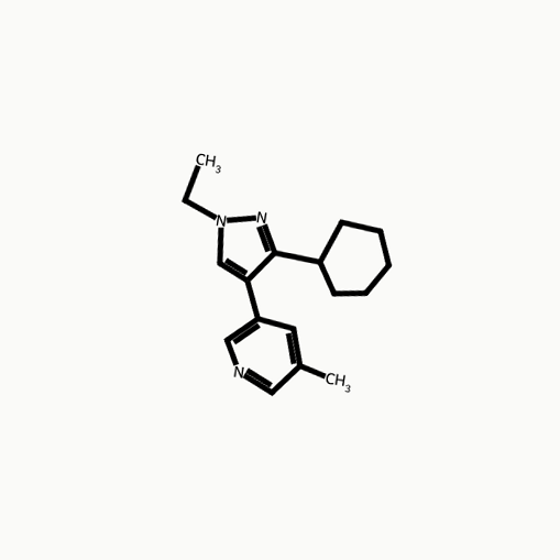 CCn1cc(-c2cncc(C)c2)c(C2CCCCC2)n1